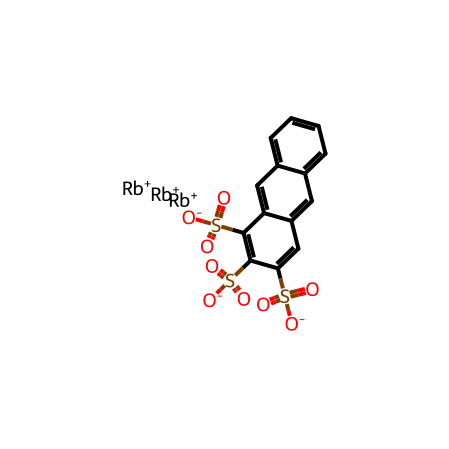 O=S(=O)([O-])c1cc2cc3ccccc3cc2c(S(=O)(=O)[O-])c1S(=O)(=O)[O-].[Rb+].[Rb+].[Rb+]